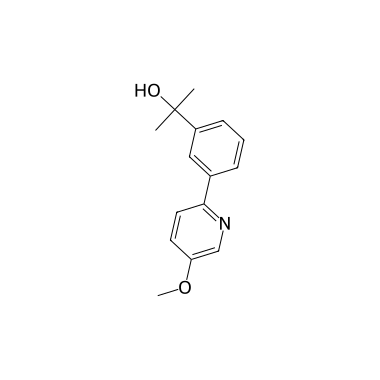 COc1ccc(-c2cccc(C(C)(C)O)c2)nc1